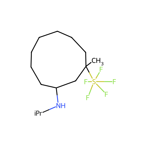 CC(C)NC1CCCCCCCC(C)(S(F)(F)(F)(F)F)C1